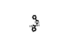 c1ccc(-c2csc(Nc3c[nH]c4ccccc34)n2)cc1